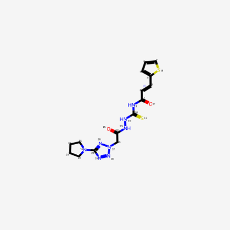 O=C(/C=C/c1cccs1)NC(=S)NNC(=O)Cn1nnc(N2CCCC2)n1